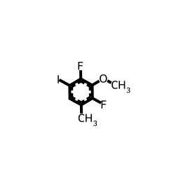 COc1c(F)c(C)cc(I)c1F